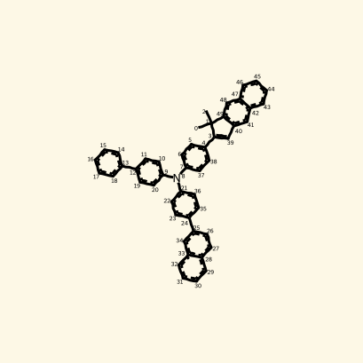 CC1(C)C(c2ccc(N(c3ccc(-c4ccccc4)cc3)c3ccc(-c4ccc5ccccc5c4)cc3)cc2)=Cc2cc3ccccc3cc21